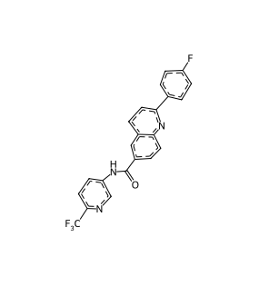 O=C(Nc1ccc(C(F)(F)F)nc1)c1ccc2nc(-c3ccc(F)cc3)ccc2c1